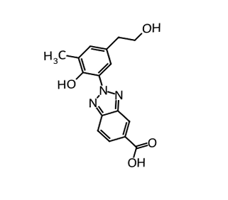 Cc1cc(CCO)cc(-n2nc3ccc(C(=O)O)cc3n2)c1O